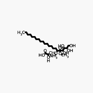 CC(O)C(=O)O.CCCCCCCCCCCCCCCCC(=O)C(O)(OC)C(O)C(O)C(O)CO.N